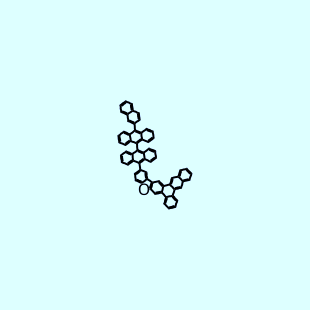 c1ccc2cc(-c3c4ccccc4c(-c4c5ccccc5c(-c5ccc6oc7cc8c9ccccc9c9cc%10ccccc%10cc9c8cc7c6c5)c5ccccc45)c4ccccc34)ccc2c1